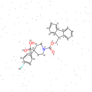 O=C(OCC1c2ccccc2-c2ccccc21)N1CCC(C(=O)O)(c2ccc(F)cc2)CC1